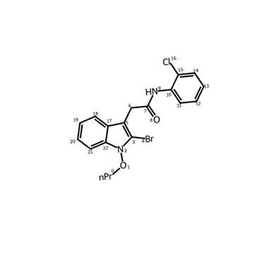 CCCOn1c(Br)c(CC(=O)Nc2ccccc2Cl)c2ccccc21